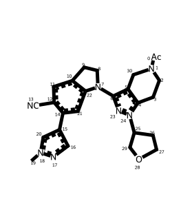 CC(=O)N1CCc2c(c(N3CCc4cc(C#N)c(-c5cnn(C)c5)cc43)nn2C2CCOC2)C1